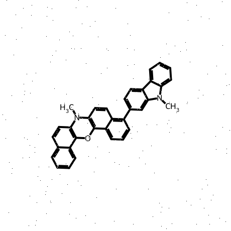 CN1c2ccc3ccccc3c2Oc2c1ccc1c(-c3ccc4c5ccccc5n(C)c4c3)cccc21